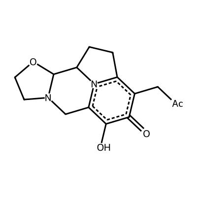 CC(=O)Cc1c2n3c(c(O)c1=O)CN1CCOC1C3CC2